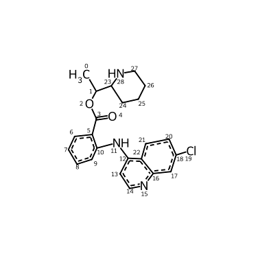 CC(OC(=O)c1ccccc1Nc1ccnc2cc(Cl)ccc12)C1CCCCN1